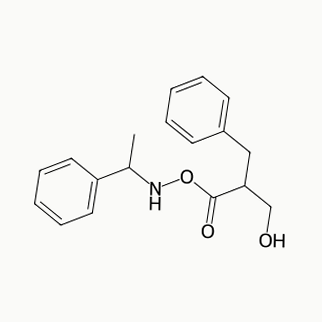 CC(NOC(=O)C(CO)Cc1ccccc1)c1ccccc1